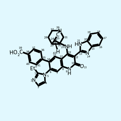 CCc1nccn1-c1cc2[nH]c(=O)c(-c3nc4ccccc4[nH]3)c(N[C@H]3CN4CCC3CC4)c2cc1-c1ccc(C(=O)O)cc1